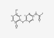 CC(=O)Oc1ccc(Cc2cc(I)ccc2Cl)cc1